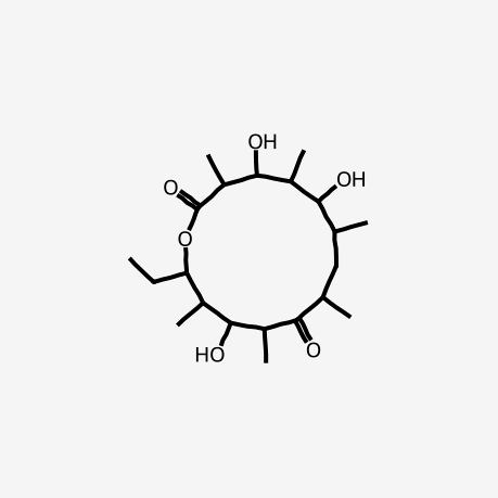 CCC1OC(=O)C(C)C(O)C(C)C(O)C(C)CC(C)C(=O)C(C)C(O)C1C